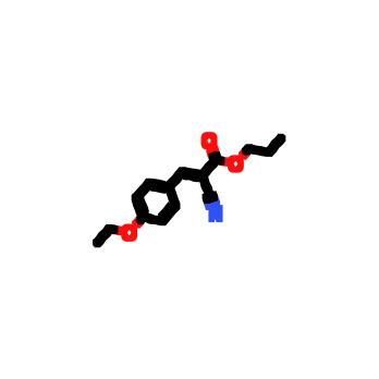 CCCOC(=O)/C(C#N)=C/c1ccc(OCC)cc1